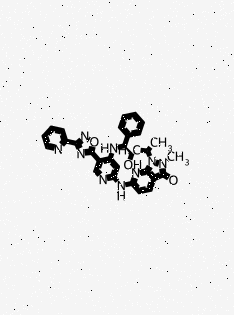 CC(C)n1c2nc(Nc3cc(N[C@H](CO)c4ccccc4)c(-c4nc(-c5ccccn5)no4)cn3)ccc2c(=O)n1C